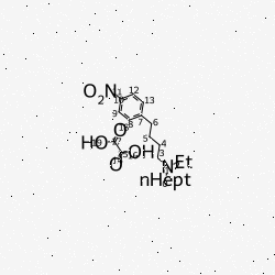 CCCCCCCN(CC)CCCCc1ccc([N+](=O)[O-])cc1.O=C(O)C(=O)O